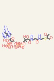 CC(=O)C(C=O)SCCNC(=O)CCNC(=O)C(O)C(C)(C)COP(=O)(O)OP(=O)(O)OC[C@H]1O[C@@H](n2cnc3c(N)ncnc32)[C@H](O)[C@@H]1OP(=O)(O)O